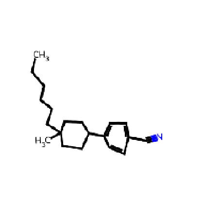 CCCCCCC1(C)CCC(c2ccc(C#N)cc2)CC1